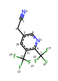 N#CCc1cnc(C(F)(F)F)c(C(F)(F)F)c1